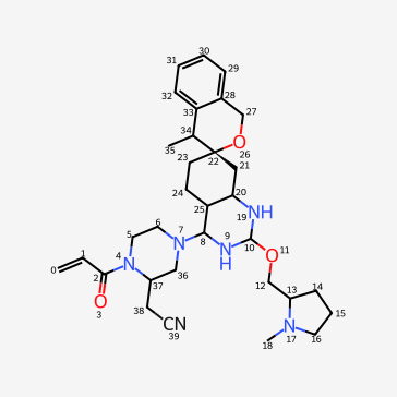 C=CC(=O)N1CCN(C2NC(OCC3CCCN3C)NC3C[C@]4(CCC32)OCc2ccccc2C4C)CC1CC#N